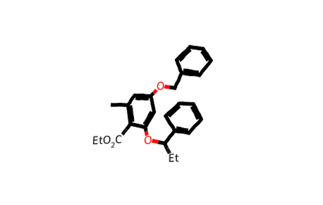 CCOC(=O)c1c(C)cc(OCc2ccccc2)cc1OC(CC)c1ccccc1